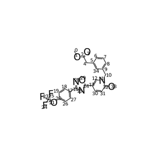 COC(=O)Cc1cccc(Cn2cc(-c3nc(-c4ccc(OC(F)(F)F)cc4)no3)ccc2=O)c1